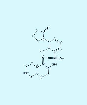 Cc1c(N2CCCC2=O)cccc1S(=O)(=O)N[C@@H](CN)C(=O)N1CCNCC1